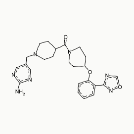 Nc1ncc(CN2CCC(C(=O)N3CCC(Oc4ccccc4-c4ncon4)CC3)CC2)cn1